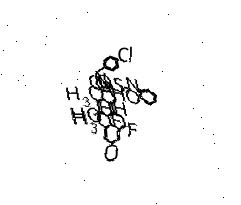 C[C@]12C=CC(=O)C=C1[C@@H](F)C[C@H]1[C@@H]3C[C@H]4CN(Cc5ccc(Cl)cc5)O[C@@]4(C(=O)CSc4nc5ccccc5o4)[C@@]3(C)C[C@H](O)[C@@]12F